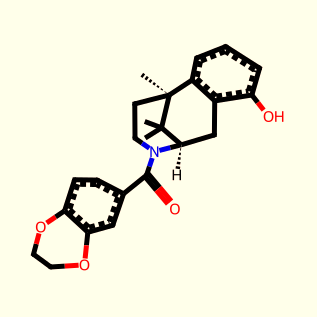 CC1(C)[C@H]2Cc3c(O)cccc3[C@]1(C)CCN2C(=O)c1ccc2c(c1)OCCO2